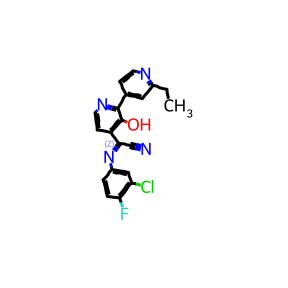 CCc1cc(-c2nccc(/C(C#N)=N/c3ccc(F)c(Cl)c3)c2O)ccn1